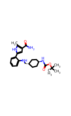 Cc1[nH]c(-c2ccccc2NC[C@H]2CC[C@H](NC(=O)OC(C)(C)C)CC2)cc1C(N)=O